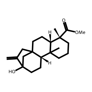 C=C1CC23CC[C@H]4C(C)(CCC[C@@]4(C)C(=O)OC)[C@@H]2CCC1(O)C3